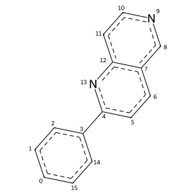 c1ccc(-c2ccc3cnccc3n2)cc1